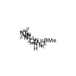 COc1ccnc(-c2nc3cc(-c4nc5c(C)ncc(C)n5n4)ccc3[nH]2)c1